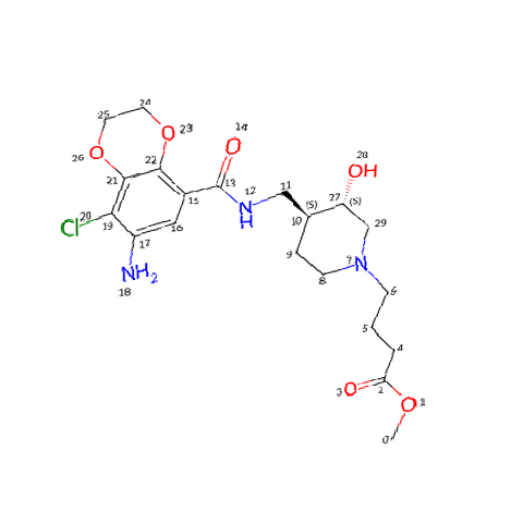 COC(=O)CCCN1CC[C@@H](CNC(=O)c2cc(N)c(Cl)c3c2OCCO3)[C@H](O)C1